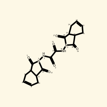 O=C(NN1C(=O)C2CC=CCC2C1=O)C(=O)NN1C(=O)C2CC=CCC2C1=O